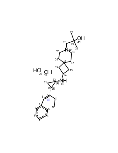 CC/C(=C\c1ccccc1)[C@@H]1C[C@H]1NC1CC2(CCN(CC(C)(C)O)CC2)C1.Cl.Cl